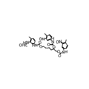 Cc1ccc(NC(=O)OCC(CCCCOC(=O)Nc2ccc(C)c(NC=O)c2)OC(=O)Nc2ccc(C)c(N=O)c2)cc1N=O